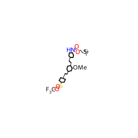 COc1cc(C=Cc2ccc(SOOC(F)(F)F)cc2)ccc1C=Cc1ccc(NC(=O)OCC[Si](C)(C)C)cc1